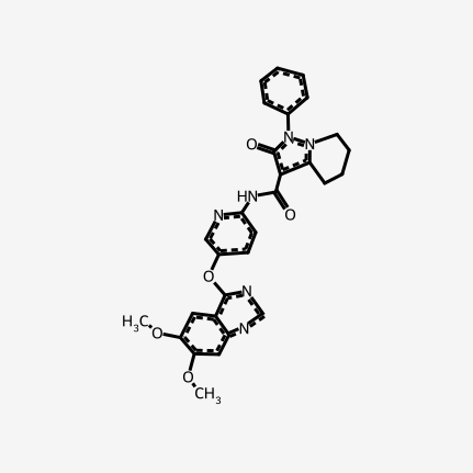 COc1cc2ncnc(Oc3ccc(NC(=O)c4c5n(n(-c6ccccc6)c4=O)CCCC5)nc3)c2cc1OC